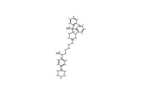 OC(CCCCCN1CCC(C(O)(c2ccccc2)c2ccccc2)CC1)c1ccc(N2CCCCC2)cc1